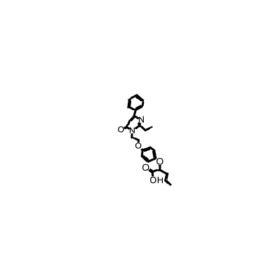 CCCC(Oc1ccc(OCCn2c(CC)nc(-c3ccccc3)cc2=O)cc1)C(=O)O